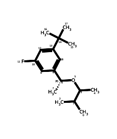 CC(C)C(C)O[C@H](C)c1cc(F)cc(C(C)(C)C)c1